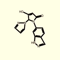 O=C1[C]=C(O)C(n2cccn2)N1c1ccc2cn[nH]c2c1